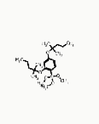 CCCC(C)(C)Oc1ccc([Si](OC)(OC)OC)c(OC(C)(C)CCC)c1